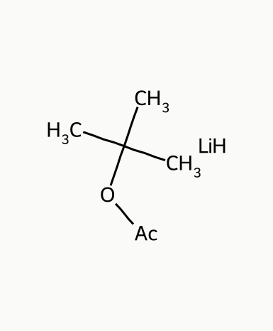 CC(=O)OC(C)(C)C.[LiH]